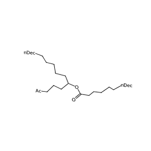 CCCCCCCCCCCCCCCC(=O)OC(CCCCCCCCCCCCCCC)CCCC(C)=O